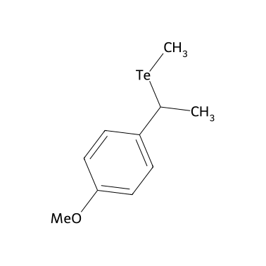 COc1ccc(C(C)[Te]C)cc1